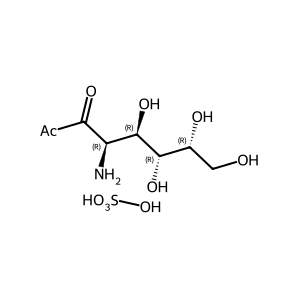 CC(=O)C(=O)[C@H](N)[C@@H](O)[C@@H](O)[C@H](O)CO.O=S(=O)(O)O